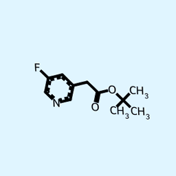 CC(C)(C)OC(=O)Cc1cncc(F)c1